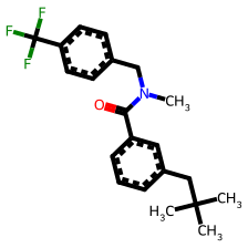 CN(Cc1ccc(C(F)(F)F)cc1)C(=O)c1cccc(CC(C)(C)C)c1